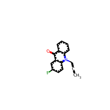 C=C=Cn1c2ccccc2c(=O)c2cc(F)ccc21